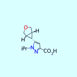 CC(C)n1nc(C(=O)O)cc1[C@@H]1[C@@H]2COC[C@@H]21